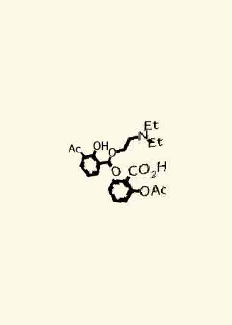 CC(=O)Oc1ccccc1C(=O)O.CCN(CC)CCOC(=O)c1cccc(C(C)=O)c1O